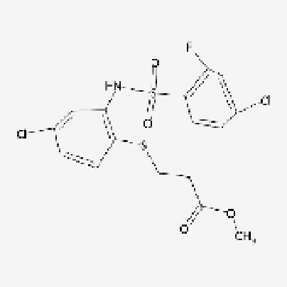 COC(=O)CCSc1ccc(Cl)cc1NS(=O)(=O)c1ccc(Cl)cc1F